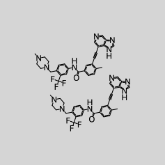 Cc1ccc(C(=O)Nc2ccc(CN3CCN(C)CC3)c(C(F)(F)F)c2)cc1C#Cc1cncc2nc[nH]c12.Cc1ccc(C(=O)Nc2ccc(CN3CCN(C)CC3)c(C(F)(F)F)c2)cc1C#Cc1cncc2nc[nH]c12